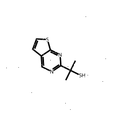 CC(C)(S)c1ncc2ccsc2n1